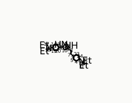 CCN(CC)c1ccc(C=CC2=CC(c3ccc(N(CC)CC)cc3)NN2)cc1